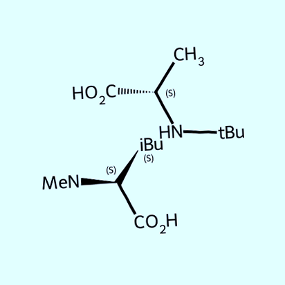 CC[C@H](C)[C@H](NC)C(=O)O.C[C@H](NC(C)(C)C)C(=O)O